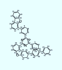 C1=CC(c2nc(-c3cccc(-c4cccc5c4oc4ccccc45)c3)nc(-c3cccc4oc5c(c34)C=C(c3ccc(-c4ccccc4)cc3)CC5)n2)=CCC1